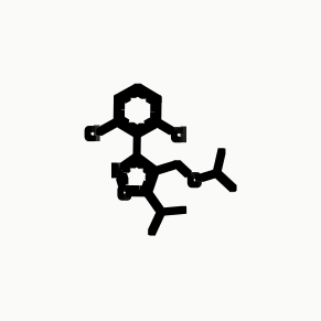 CC(C)OCc1c(-c2c(Cl)cccc2Cl)noc1C(C)C